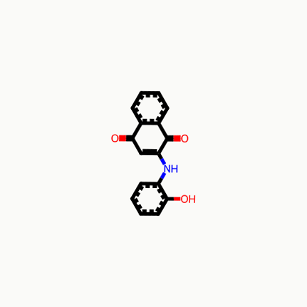 O=C1C=C(Nc2ccccc2O)C(=O)c2ccccc21